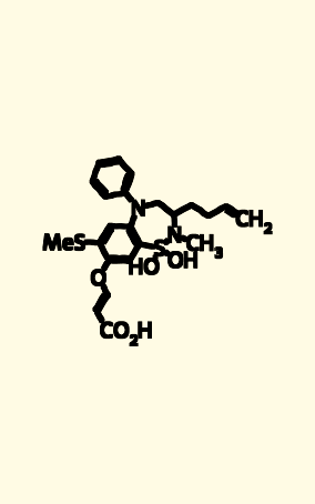 C=CCCC1CN(c2ccccc2)c2cc(SC)c(O/C=C/C(=O)O)cc2S(O)(O)N1C